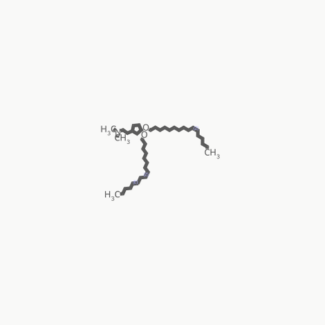 CCCC/C=C/C/C=C\CCCCCCCOC1(OCCCCCCCCC/C=C\CCCCC)CCC(CCN(C)C)C1